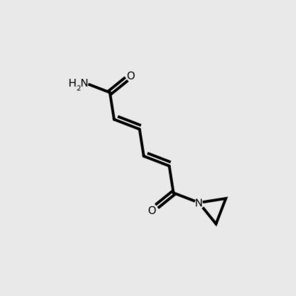 NC(=O)C=CC=CC(=O)N1CC1